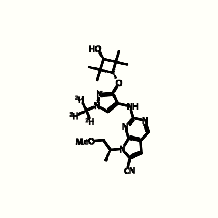 [2H]C([2H])([2H])n1cc(Nc2ncc3cc(C#N)n([C@@H](C)COC)c3n2)c(O[C@H]2C(C)(C)[C@H](O)C2(C)C)n1